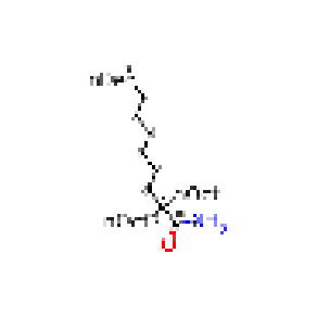 CCCCCCCCCCCCCCCCC(CCCCCCCC)(CCCCCCCC)C(N)=O